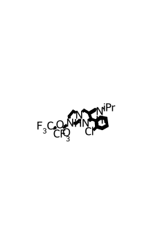 CC(C)N/C=C(/CN1CCN(C(=O)OC(C(F)(F)F)C(F)(F)F)CC1)C(=N)c1ccccc1Cl